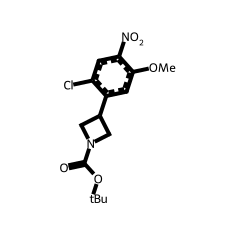 COc1cc(C2CN(C(=O)OC(C)(C)C)C2)c(Cl)cc1[N+](=O)[O-]